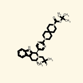 C[C@@H]1Cc2c([nH]c3ccccc23)[C@@H](c2cnc(N3CCC4(CCN(C(=O)OC(C)(C)C)CC4)CC3)nc2)N1CC(C)(C)F